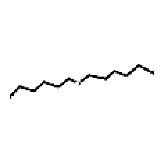 ICCCCCOCCCCCI